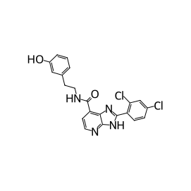 O=C(NCCc1cccc(O)c1)c1ccnc2[nH]c(-c3ccc(Cl)cc3Cl)nc12